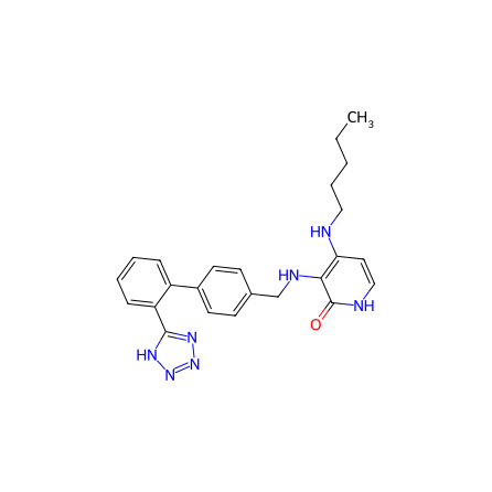 CCCCCNc1cc[nH]c(=O)c1NCc1ccc(-c2ccccc2-c2nnn[nH]2)cc1